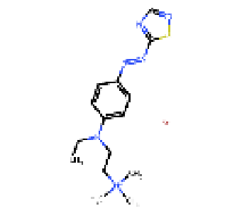 CCN(CC[N+](C)(C)C)c1ccc(N=Nc2ncns2)cc1.[Br-]